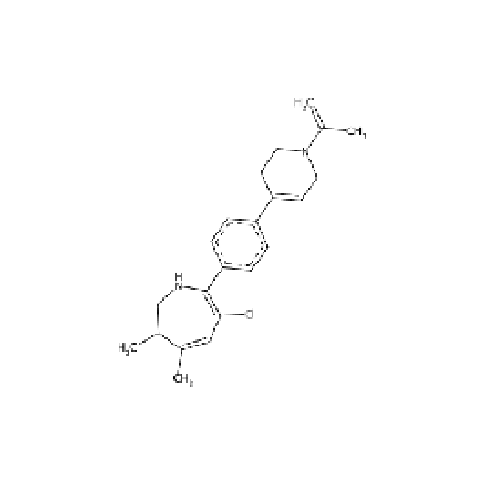 C=C(C)N1CC=C(c2ccc(C3=C(Cl)C=C(C)C(C)CN3)cc2)CC1